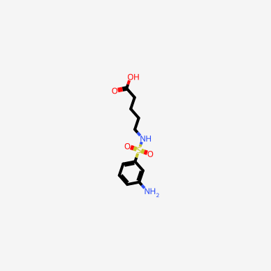 Nc1cccc(S(=O)(=O)NCCCCC(=O)O)c1